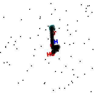 CC/C(=C(\c1ccc(O)cc1)c1ccc(OCCNCCCCCCC[S+]([O-])CCCC(F)(F)C(F)(F)F)cc1)c1ccccc1